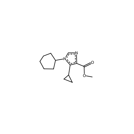 COC(=O)c1ncn(C2CCCCC2)c1C1CC1